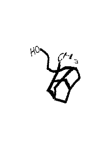 CC1(CCO)C2CC3CC(C2)CC1C3